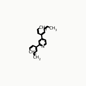 C=C/C=C(\C=C/C)c1cc(C(/C=C\C)=C/C=C\C)ccn1